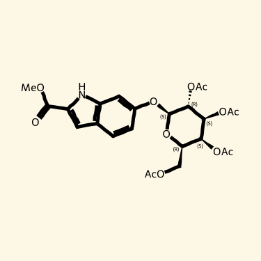 COC(=O)c1cc2ccc(O[C@@H]3O[C@H](COC(C)=O)[C@H](OC(C)=O)[C@H](OC(C)=O)[C@H]3OC(C)=O)cc2[nH]1